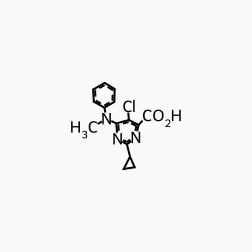 CN(c1ccccc1)c1nc(C2CC2)nc(C(=O)O)c1Cl